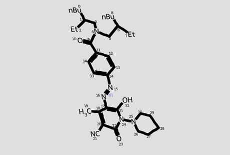 CCCCC(CC)CN(CC(CC)CCCC)C(=O)c1ccc(/N=N/c2c(C)c(C#N)c(=O)n(N3CCCCC3)c2O)cc1